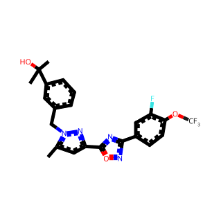 Cc1cc(-c2nc(-c3ccc(OC(F)(F)F)c(F)c3)no2)nn1Cc1cccc(C(C)(C)O)c1